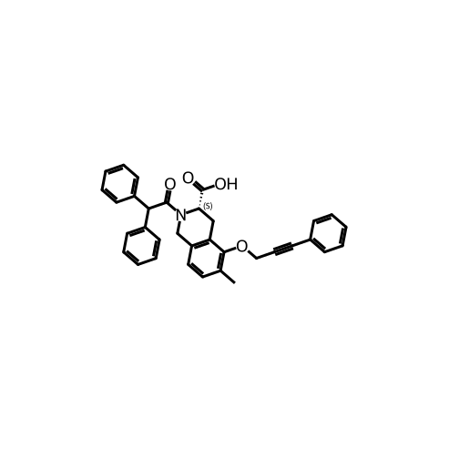 Cc1ccc2c(c1OCC#Cc1ccccc1)C[C@@H](C(=O)O)N(C(=O)C(c1ccccc1)c1ccccc1)C2